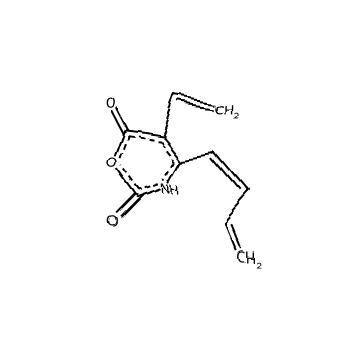 C=C/C=C\c1[nH]c(=O)oc(=O)c1C=C